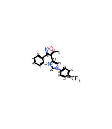 Cc1onc(-c2ccccc2)c1-c1cn(-c2ccc(C(F)(F)F)cc2)cn1